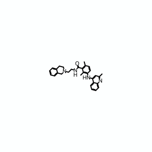 Cc1cc(Nc2ccc(C)c(C(=O)NCCN3CCc4ccccc4C3)c2C)c2ccccc2n1